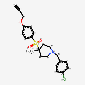 C#CCOc1ccc(S(=O)(=O)C2(C(=O)O)CCN(Cc3ccc(Cl)cc3)CC2)cc1